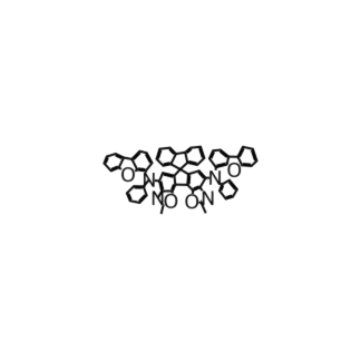 Cc1nc2c(N(c3ccccc3)c3cccc4c3oc3ccccc34)cc3c(c2o1)-c1c(cc(N(c2ccccc2)c2cccc4c2oc2ccccc24)c2nc(C)oc12)C31c2ccccc2-c2ccccc21